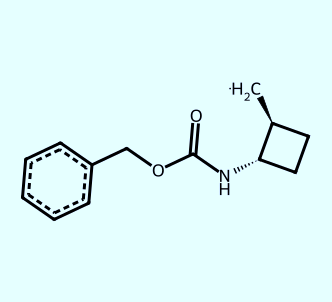 [CH2][C@H]1CC[C@@H]1NC(=O)OCc1ccccc1